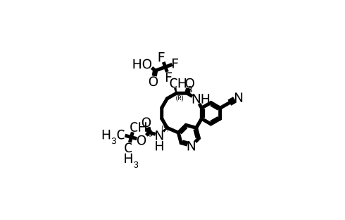 C[C@@H]1CCC[C@H](NC(=O)OC(C)(C)C)c2cncc(c2)-c2ccc(C#N)cc2NC1=O.O=C(O)C(F)(F)F